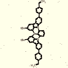 C=Cc1ccc(-c2ccc3c(c2)c2cc(C(C)(C)C)cc4c2n3-c2cccc3c2B4c2cc(C(C)(C)C)cc4c5cc(-c6ccc(C=C)cc6)ccc5n-3c24)cc1